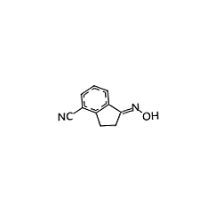 N#Cc1cccc2c1CCC2=NO